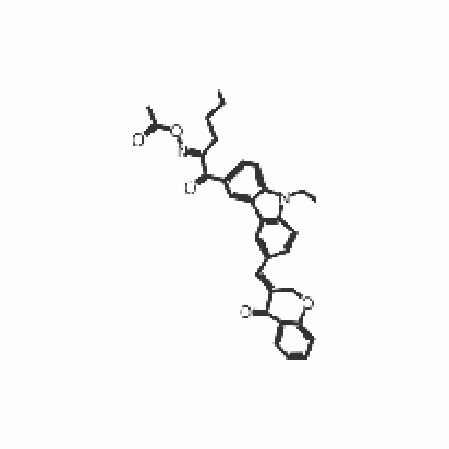 CCCC/C(=N\OC(C)=O)C(=O)c1ccc2c(c1)c1cc(/C=C3\COc4ccccc4C3=O)ccc1n2CC